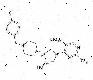 CCOC(=O)c1cnc(C(F)(F)F)nc1N1C[C@@H](O)[C@H](N2CCN(Cc3ccc(Cl)cc3)CC2)C1